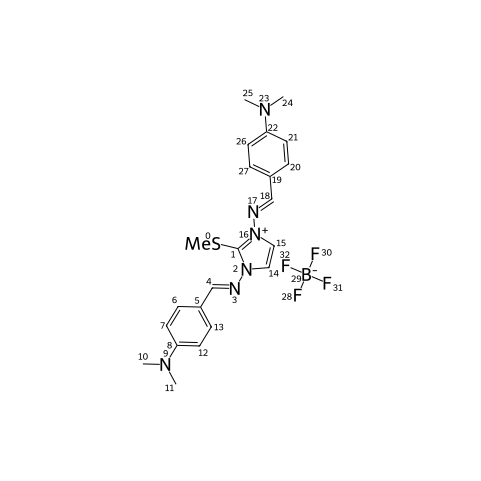 CSc1n(/N=C/c2ccc(N(C)C)cc2)cc[n+]1/N=C/c1ccc(N(C)C)cc1.F[B-](F)(F)F